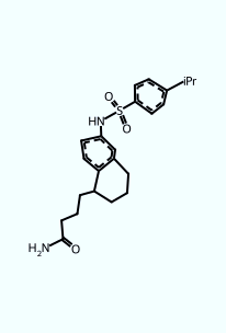 CC(C)c1ccc(S(=O)(=O)Nc2ccc3c(c2)CCCC3CCCC(N)=O)cc1